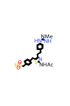 CNC(=N)Nc1ccc(CCc2nc(NC(C)=O)sc2Cc2ccc(C[SH](=O)=O)cc2)cc1